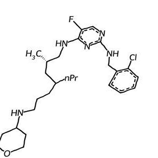 CCCC(CCCNC1CCOCC1)C[C@H](C)CNc1nc(NCc2ccccc2Cl)ncc1F